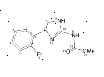 CCc1ccccc1C1CNC(NC(=O)OC)=N1